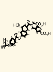 Cl.N=C(N)Nc1ccc(C(=O)Oc2ccc3c(c2)CCC(C(=O)N(CC(=O)O)Cc2csc(C(=O)O)c2)C3)cc1